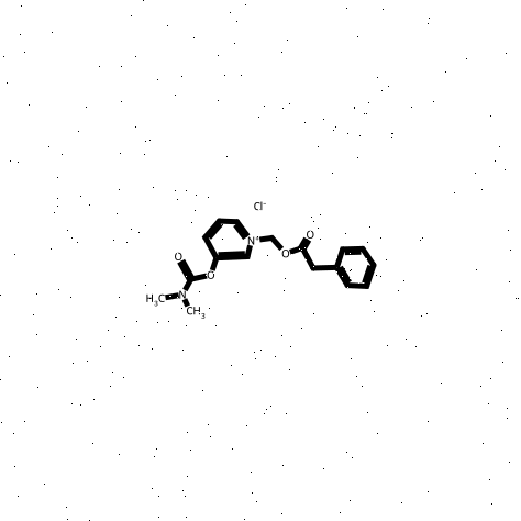 CN(C)C(=O)Oc1ccc[n+](COC(=O)Cc2ccccc2)c1.[Cl-]